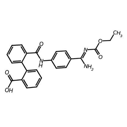 CCOC(=O)N=C(N)c1ccc(NC(=O)c2ccccc2-c2ccccc2C(=O)O)cc1